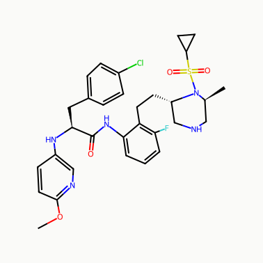 COc1ccc(N[C@@H](Cc2ccc(Cl)cc2)C(=O)Nc2cccc(F)c2CC[C@H]2CNC[C@H](C)N2S(=O)(=O)C2CC2)cn1